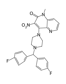 Cn1c(=O)c([N+](=O)[O-])c(N2CCN(C(c3ccc(F)cc3)c3ccc(F)cc3)CC2)c2ncccc21